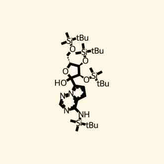 CC(C)(C)[Si](C)(C)Nc1ncnn2c(C3(O)O[C@H](CO[Si](C)(C)C(C)(C)C)[C@@H](O[Si](C)(C)C(C)(C)C)[C@H]3O[Si](C)(C)C(C)(C)C)ccc12